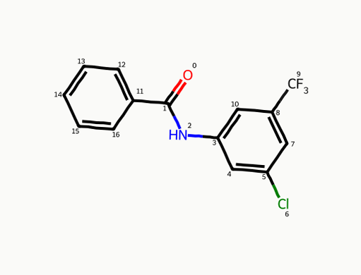 O=C(Nc1cc(Cl)cc(C(F)(F)F)c1)c1ccccc1